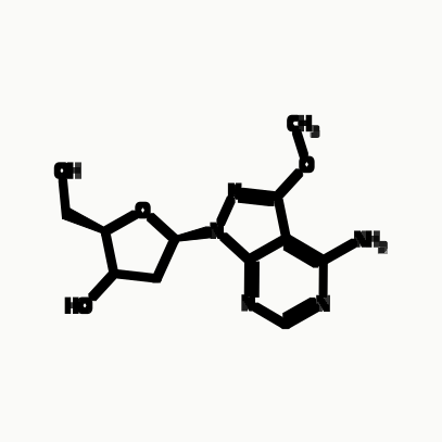 COc1nn([C@H]2CC(O)[C@@H](CO)O2)c2ncnc(N)c12